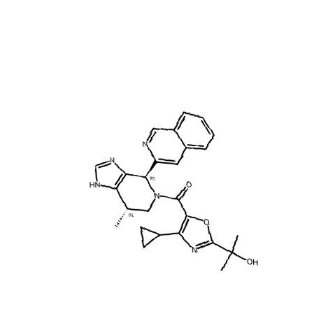 C[C@H]1CN(C(=O)c2oc(C(C)(C)O)nc2C2CC2)[C@H](c2cc3ccccc3cn2)c2nc[nH]c21